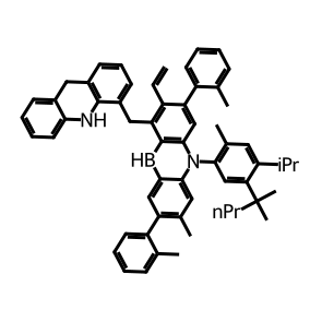 C=Cc1c(-c2ccccc2C)cc2c(c1Cc1cccc3c1Nc1ccccc1C3)Bc1cc(-c3ccccc3C)c(C)cc1N2c1cc(C(C)(C)CCC)c(C(C)C)cc1C